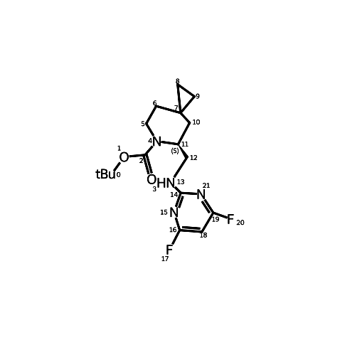 CC(C)(C)OC(=O)N1CCC2(CC2)C[C@H]1CNc1nc(F)cc(F)n1